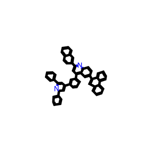 c1ccc(-c2cc(-c3cccc(-c4cc(-c5ccc6ccccc6c5)nc5ccc(-c6cc7ccccc7c7ccccc67)cc45)c3)cc(-c3ccccc3)n2)cc1